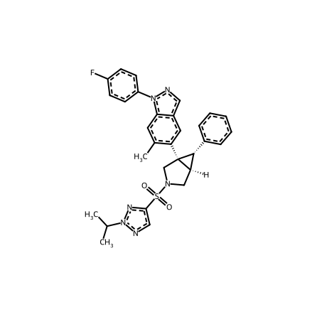 Cc1cc2c(cnn2-c2ccc(F)cc2)cc1[C@@]12CN(S(=O)(=O)c3cnn(C(C)C)n3)C[C@@H]1[C@H]2c1ccccc1